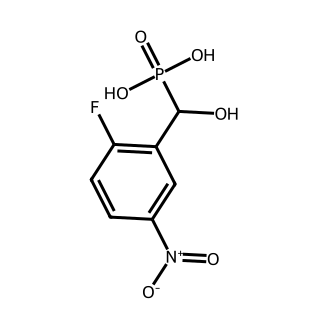 O=[N+]([O-])c1ccc(F)c(C(O)P(=O)(O)O)c1